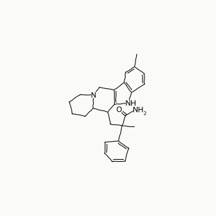 Cc1ccc2[nH]c3c(c2c1)CN1CCCCC1C3CC(C)(C(N)=O)c1ccccc1